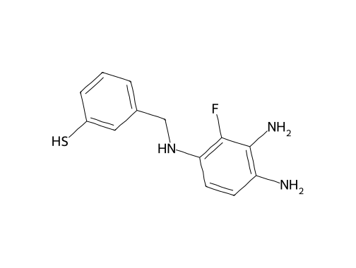 Nc1ccc(NCc2cccc(S)c2)c(F)c1N